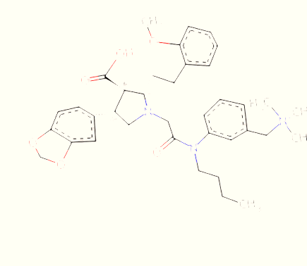 CCCCN(C(=O)CN1C[C@H](c2ccc3c(c2)OCO3)[C@@H](C(=O)O)[C@@H]1CCc1ccccc1OC)c1cccc(C[N+](C)(C)C)c1